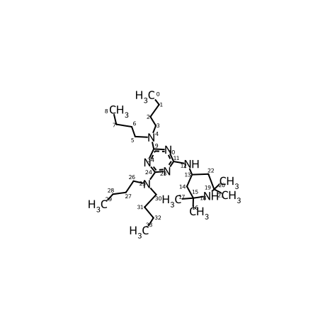 CCCCN(CCCC)c1nc(NC2CC(C)(C)NC(C)(C)C2)nc(N(CCCC)CCCC)n1